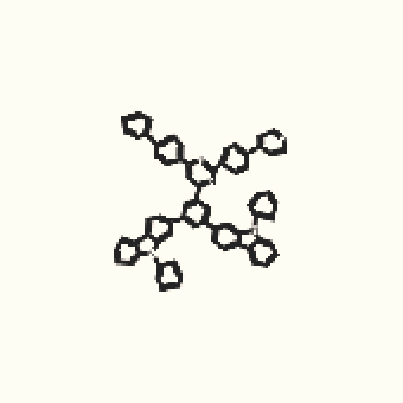 c1ccc(-c2ccc(-c3cc(-c4cc(-c5ccc6c7ccccc7n(-c7ccccc7)c6c5)cc(-c5ccc6c7ccccc7n(-c7ccccc7)c6c5)c4)nc(-c4ccc(-c5ccncc5)cc4)n3)cc2)cc1